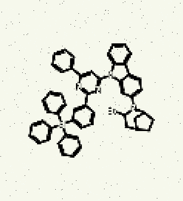 CCC1CC2CCC(C2)N1c1ccc2c3ccccc3n(-c3cc(-c4ccccc4)nc(-c4cccc([Si](c5ccccc5)(c5ccccc5)c5ccccc5)c4)n3)c2c1